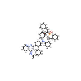 C=C(/N=C(\C=C(/N)c1ccc(N2c3ccccc3C3=C(c4ccccc42)P(=O)(c2ccc4ccccc4c2)c2ccccc23)cc1)c1ccccc1)c1ccccc1